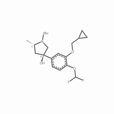 C[C@H]1C[C@@](O)(c2ccc(OC(F)F)c(OCC3CC3)c2)CN1C(C)(C)C